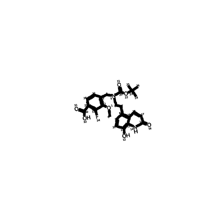 COc1c(CN(CCc2ccc(O)c3[nH]c(=O)ccc23)C(=O)OC(C)(C)C)ccc(C(=O)O)c1F